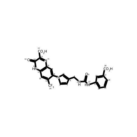 O=C(NCc1ccn(-c2cc3nc(C(=O)O)c(=O)[nH]c3cc2C(F)(F)F)c1)Nc1cccc(C(=O)O)c1